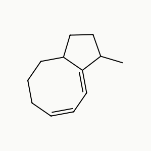 CC1CCC2CCC/C=C\C=C\12